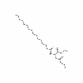 CCCCCCCCCCCCCCCC(=O)NC(CC(=O)OCC)C(=O)OCC